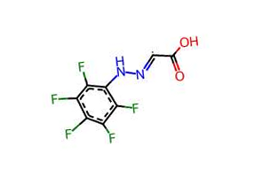 O=C(O)[C]=NNc1c(F)c(F)c(F)c(F)c1F